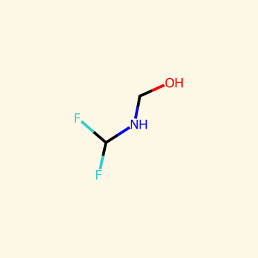 OCNC(F)F